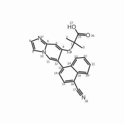 CC(C)(Sc1cc2nccn2cc1-c1ccc(C#N)c2ccccc12)C(=O)O